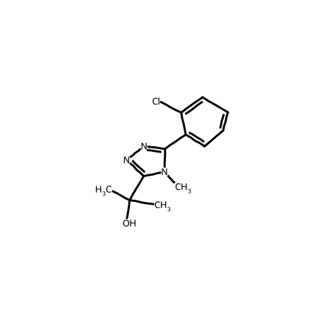 Cn1c(-c2ccccc2Cl)nnc1C(C)(C)O